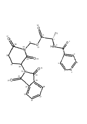 C[C@H](NC(=O)c1ccncc1)C(=O)OCN1C(=O)CCC(N2C(=O)c3ccccc3C2=O)C1=O